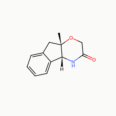 C[C@]12Cc3ccccc3[C@H]1NC(=O)CO2